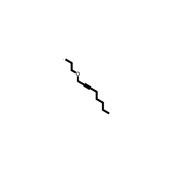 [CH2]CCOCC#CCCCCC